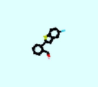 O=Cc1ccccc1-c1cc2cc(F)ccc2s1